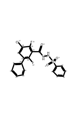 O=C(NNS(=O)(=O)c1ccccc1)c1c(F)c(Cl)cc(-c2ccccc2)c1F